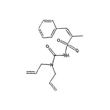 C=CCN(CC=C)C(=O)NS(=O)(=O)C(C)=Cc1ccccc1